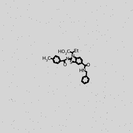 CCC(C(=O)O)n1c(=NC(=O)c2ccc(C)cc2)sc2cc(C(=O)NCc3ccccc3)ccc21